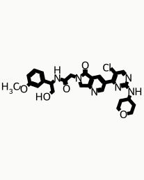 COc1cccc(C(CO)NC(=O)CN2Cc3ncc(-c4nc(NC5CCOCC5)ncc4Cl)cc3C2=O)c1